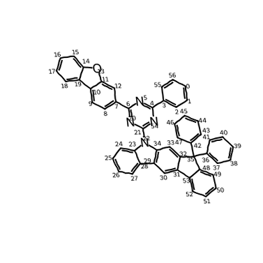 c1ccc(-c2nc(-c3ccc4c(c3)oc3ccccc34)nc(-n3c4ccccc4c4cc5c(cc43)C(c3ccccc3)(c3ccccc3)c3ccccc3-5)n2)cc1